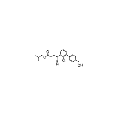 CC(C)COC(=O)CCC(C#N)c1cccc(-c2ccc(CO)cc2)c1Cl